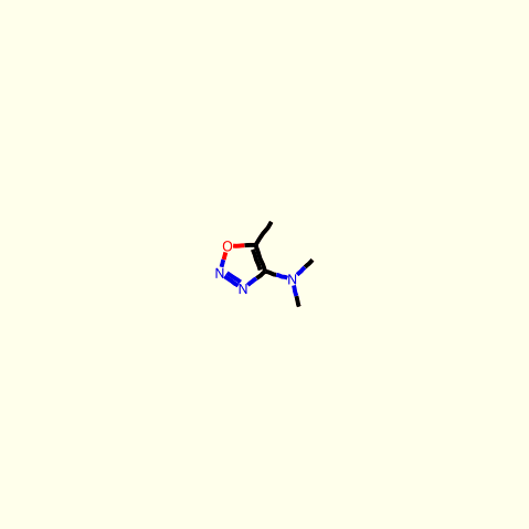 Cc1onnc1N(C)C